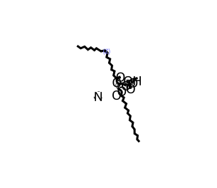 CCCCCCCC/C=C\CCCCCCCC(=O)O[C@H](COC(=O)CCCCCCCCCCCCCCC)COP(=O)(O)OCC.CN(C)C